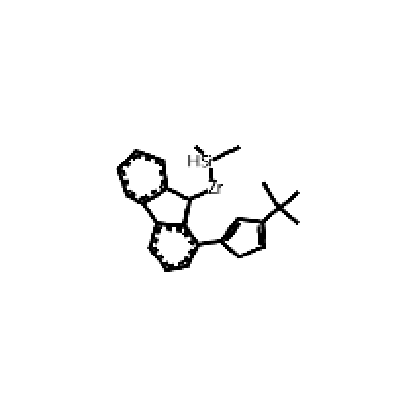 C[SiH](C)[Zr][CH]1c2ccccc2-c2cccc(C3=CC(C(C)(C)C)=CC3)c21